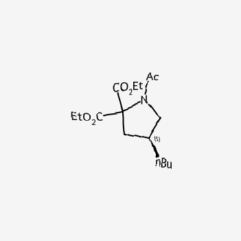 CCCC[C@@H]1CN(C(C)=O)C(C(=O)OCC)(C(=O)OCC)C1